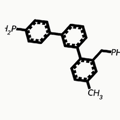 Cc1ccc(-c2cccc(-c3ccc(P)cc3)c2)c(CP)c1